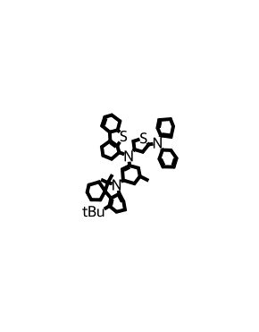 CC1CC(N(C2CSC(N(C3=CCCC=C3)C3C=CC=CC3)C2)C2CCCC3=C2SC2CCC=CC32)=CC(N2C3=CCCC(C(C)(C)C)=C3C3(CCCCC3)C2(C)C)C1